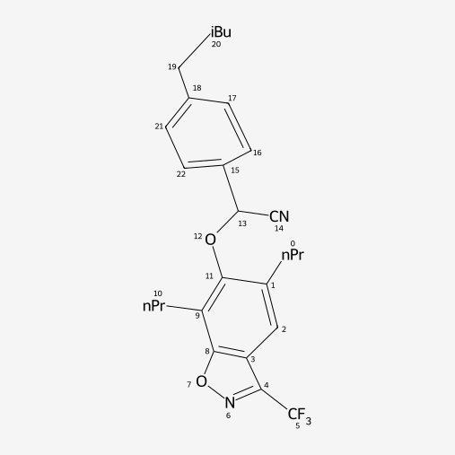 CCCc1cc2c(C(F)(F)F)noc2c(CCC)c1OC(C#N)c1ccc(CC(C)CC)cc1